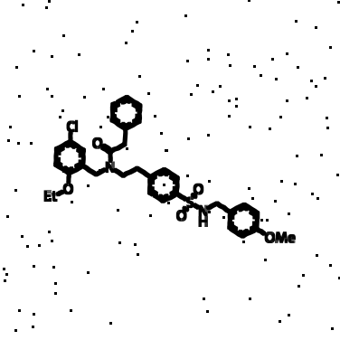 CCOc1ccc(Cl)cc1CN(CCc1ccc(S(=O)(=O)NCc2ccc(OC)cc2)cc1)C(=O)Cc1ccccc1